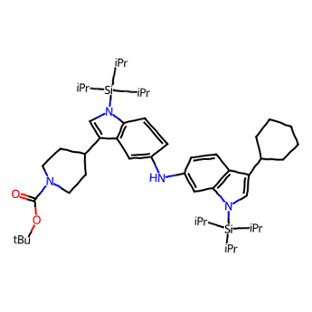 CC(C)[Si](C(C)C)(C(C)C)n1cc(C2CCCCC2)c2ccc(Nc3ccc4c(c3)c(C3CCN(C(=O)OC(C)(C)C)CC3)cn4[Si](C(C)C)(C(C)C)C(C)C)cc21